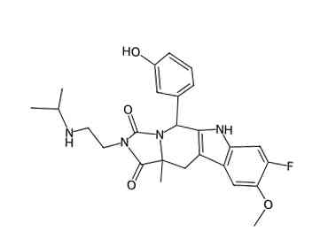 COc1cc2c3c([nH]c2cc1F)C(c1cccc(O)c1)N1C(=O)N(CCNC(C)C)C(=O)C1(C)C3